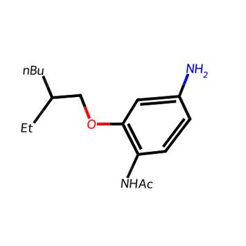 CCCCC(CC)COc1cc(N)ccc1NC(C)=O